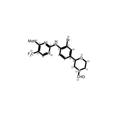 CNc1nc(Nc2ccc(C3CN(C=O)CCO3)cc2Br)ncc1C(F)(F)F